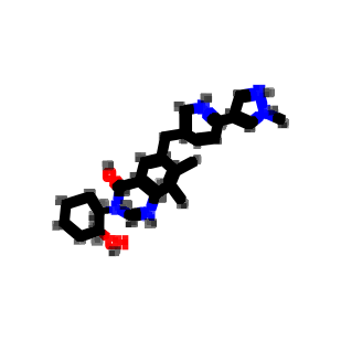 Cc1c(Cc2ccc(-c3cnn(C)c3)nc2)cc2c(=O)n([C@H]3CCCC[C@@H]3O)cnc2c1C